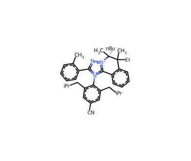 CCCC[C@@]1(C)[n+]2nc(-c3ccccc3C)n(-c3c(CC(C)C)cc(C#N)cc3CC(C)C)c2-c2ccccc2C1(C)CC